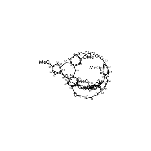 COc1cc2c3cc1OCCCOc1cc4c(cc1OC)Cc1cc5c(OC)cc1Cc1cc(OC)c(cc1C4)OCCCOc1cc(c(cc1OC)C2)Cc1cc(c(OC)cc1C3)OCCCO5